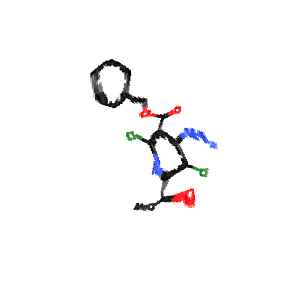 COC(=O)c1nc(Cl)c(C(=O)OCc2ccccc2)c(N)c1Cl